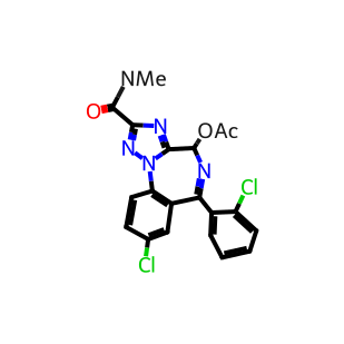 CNC(=O)c1nc2n(n1)-c1ccc(Cl)cc1C(c1ccccc1Cl)=NC2OC(C)=O